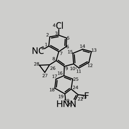 N#Cc1cc(Cl)ccc1/C(=C(\c1[c]cccc1)c1ccc2[nH]nc(F)c2c1)C1CC1